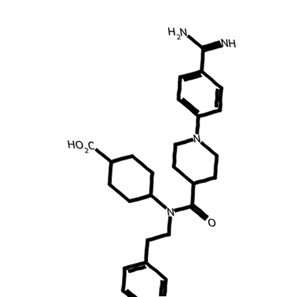 N=C(N)c1ccc(N2CCC(C(=O)N(CCc3ccccc3)C3CCC(C(=O)O)CC3)CC2)cc1